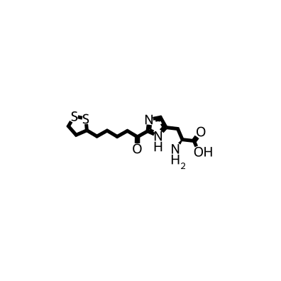 N[C@@H](Cc1cnc(C(=O)CCCCC2CCSS2)[nH]1)C(=O)O